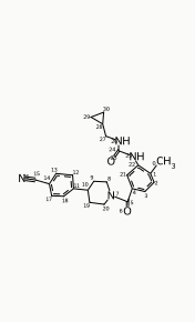 Cc1ccc(C(=O)N2CCC(c3ccc(C#N)cc3)CC2)cc1NC(=O)NCC1CC1